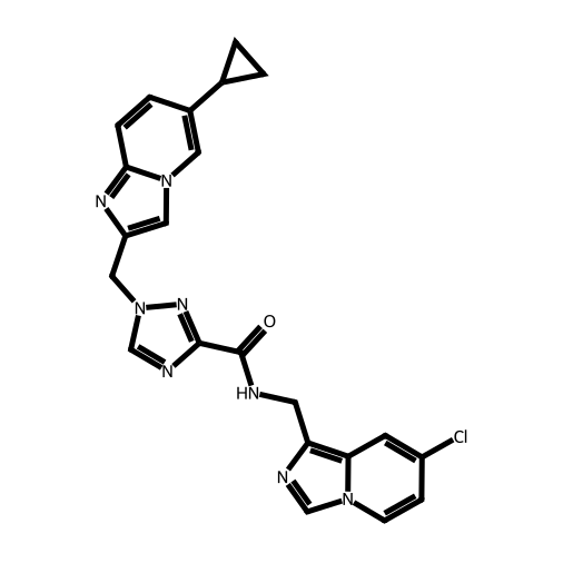 O=C(NCc1ncn2ccc(Cl)cc12)c1ncn(Cc2cn3cc(C4CC4)ccc3n2)n1